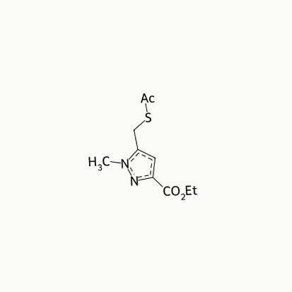 CCOC(=O)c1cc(CSC(C)=O)n(C)n1